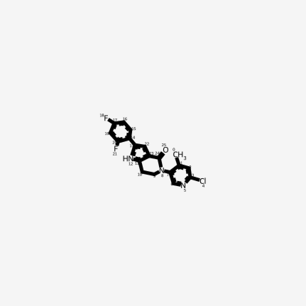 Cc1cc(Cl)ncc1N1CCc2[nH]c(-c3ccc(F)cc3F)cc2C1=O